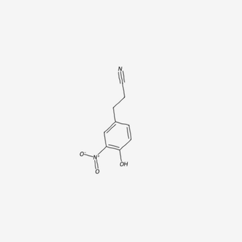 N#CCCc1ccc(O)c([N+](=O)[O-])c1